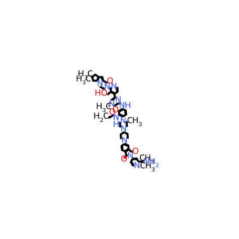 C=CC(=O)Nc1cc(Nc2nc(-c3ccnc(N4CCn5c(cc6c5CC(C)(C)C6)C4=O)c3CO)cn(C)c2=O)ccc1N1CCN(C2CCN(c3ccc4c(c3)C(=O)N(c3ccnc(C(C)(C)N)c3)C4=O)CC2)C[C@@H]1C